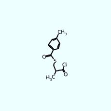 Cc1ccc(C(=O)SCC(C)C(=O)Cl)cc1